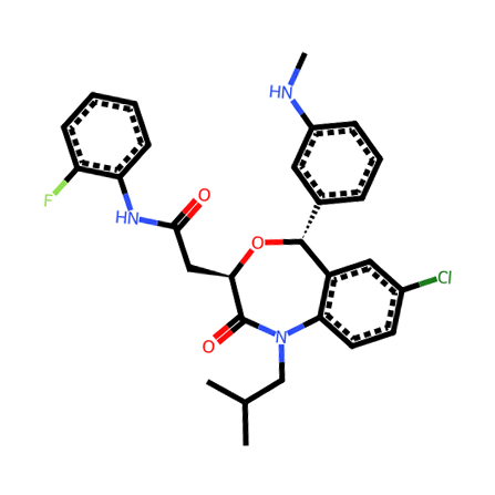 CNc1cccc([C@H]2O[C@H](CC(=O)Nc3ccccc3F)C(=O)N(CC(C)C)c3ccc(Cl)cc32)c1